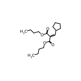 CCCCOC(=O)C(=CC1CCCC1)C(=O)OCCCC